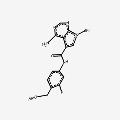 COCc1ccc(NC(=O)c2cn(C(C)(C)C)c3ncnc(N)c23)cc1F